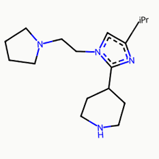 CC(C)c1cn(CCN2CCCC2)c(C2CCNCC2)n1